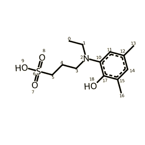 CCN(CCCS(=O)(=O)O)c1cc(C)cc(C)c1O